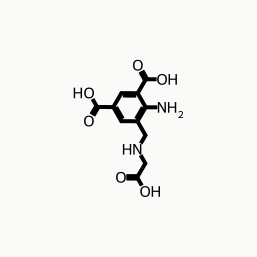 Nc1c(CNCC(=O)O)cc(C(=O)O)cc1C(=O)O